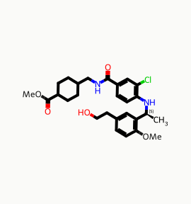 COC(=O)C1CCC(CNC(=O)c2ccc(N[C@@H](C)c3cc(CCO)ccc3OC)c(Cl)c2)CC1